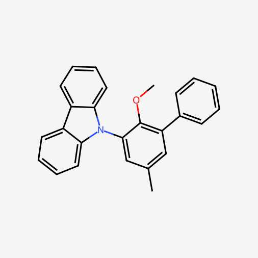 COc1c(-c2ccccc2)cc(C)cc1-n1c2ccccc2c2ccccc21